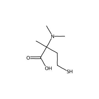 CN(C)C(C)(CCS)C(=O)O